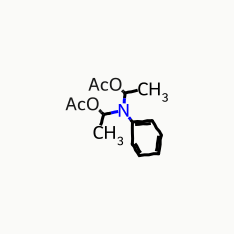 CC(=O)OC(C)N(c1ccccc1)C(C)OC(C)=O